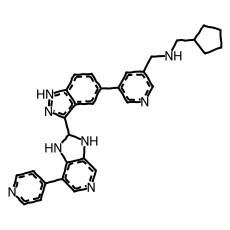 c1cc(-c2cncc3c2NC(c2n[nH]c4ccc(-c5cncc(CNCC6CCCC6)c5)cc24)N3)ccn1